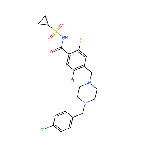 O=C(NS(=O)(=O)C1CC1)c1cc(Cl)c(CN2CCN(Cc3ccc(Cl)cc3)CC2)cc1F